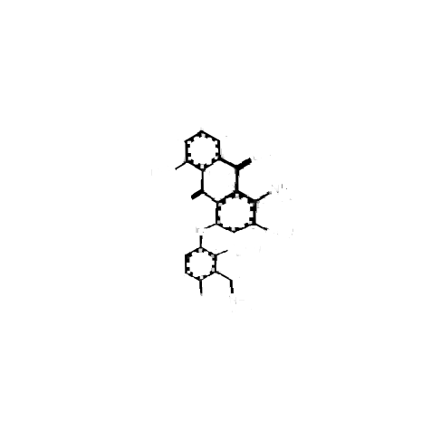 Cc1ccc(Nc2cc(S(=O)(=O)O)c(N)c3c2C(=O)c2c(cccc2S(=O)(=O)O)C3=O)c(S(=O)(=O)O)c1CN